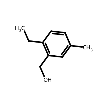 CCc1ccc(C)cc1CO